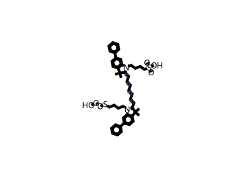 CC1(C)C(/C=C/C=C/C=C/C=C2/N(CCCCS(=O)(=O)O)c3cc(-c4ccccc4)ccc3C2(C)C)=[N+](CCCCSOOO)c2cc(-c3ccccc3)ccc21